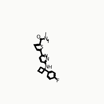 O=C(c1ccc(-c2ccc(NC3(c4ccc(F)cc4)CCC3)nn2)s1)N(I)I